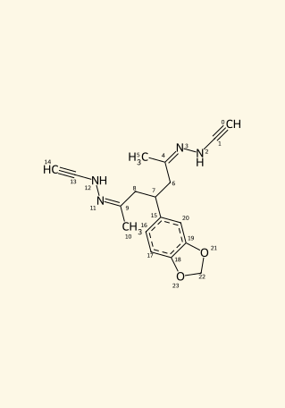 C#CN/N=C(/C)CC(C/C(C)=N\NC#C)c1ccc2c(c1)OCO2